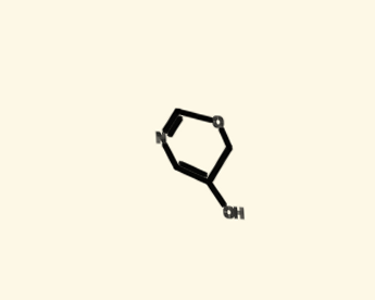 OC1=CN=COC1